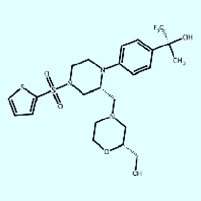 C[C@](O)(c1ccc(N2CCN(S(=O)(=O)c3cccs3)C[C@H]2CN2CCO[C@@H](CO)C2)cc1)C(F)(F)F